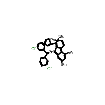 CC(C)c1cc(C(C)(C)C)cc2c1=C1C=CC(C(C)C)(C(C)(C)C)C(C3=CC=CC3)=C1[C]=2[Zr+2]=[C](c1ccccc1)c1ccccc1.[Cl-].[Cl-]